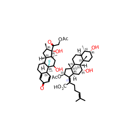 CC(=O)OCC(=O)[C@@]1(O)[C@H](C)C[C@H]2[C@@H]3CCC4=CC(=O)C=C[C@]4(C)[C@@]3(F)C(O)C[C@@]21C.CC(=O)O[C@H]1C[C@@]2(C)[C@@H](C[C@@H](O)[C@H]3[C@@]4(C)CC[C@@H](O)[C@@H](C)[C@@H]4CC[C@@]32C)/C1=C(\CCC=C(C)C)C(=O)O